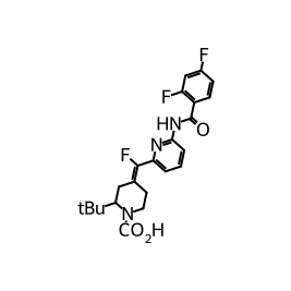 CC(C)(C)C1CC(=C(F)c2cccc(NC(=O)c3ccc(F)cc3F)n2)CCN1C(=O)O